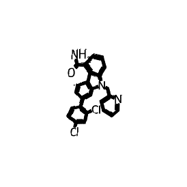 NC(=O)c1cccc2c1c1[c]cc(-c3ccc(Cl)cc3Cl)cc1n2Cc1ccccn1